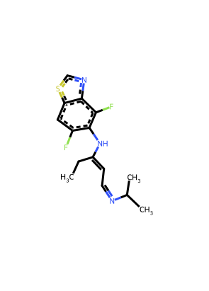 CC/C(=C\C=N/C(C)C)Nc1c(F)cc2scnc2c1F